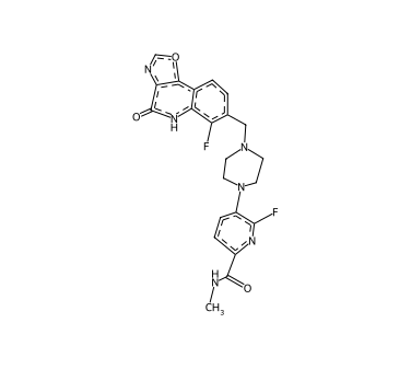 CNC(=O)c1ccc(N2CCN(Cc3ccc4c([nH]c(=O)c5ncoc54)c3F)CC2)c(F)n1